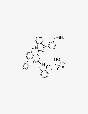 NCc1cccc(Oc2ccccc2N(Cc2ccc(-c3ccsc3)cc2)C(=O)CCC(=O)NCc2ccccc2C(F)(F)F)c1.O=C(O)C(F)(F)F